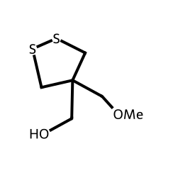 COCC1(CO)CSSC1